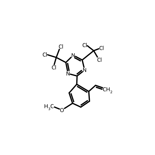 C=Cc1ccc(OC)cc1-c1nc(C(Cl)(Cl)Cl)nc(C(Cl)(Cl)Cl)n1